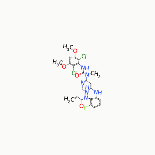 C=CC(=O)Nc1c(F)cccc1NC1=CC(N(C)C(=O)Nc2c(Cl)c(OC)cc(OC)c2Cl)=NCN1